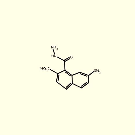 NNC(=O)c1c(C(=O)O)ccc2ccc(N)cc12